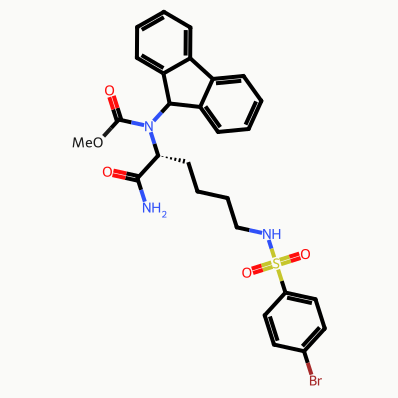 COC(=O)N(C1c2ccccc2-c2ccccc21)[C@H](CCCCNS(=O)(=O)c1ccc(Br)cc1)C(N)=O